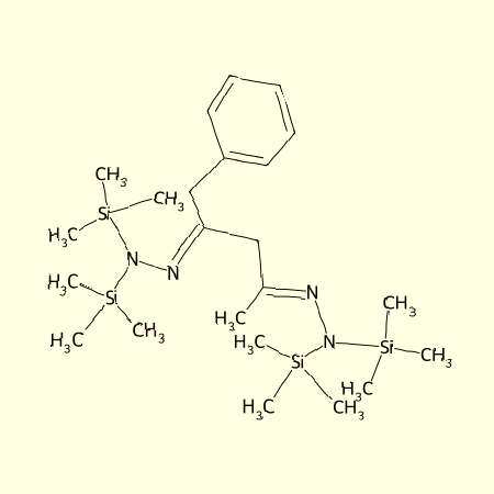 CC(CC(Cc1ccccc1)=NN([Si](C)(C)C)[Si](C)(C)C)=NN([Si](C)(C)C)[Si](C)(C)C